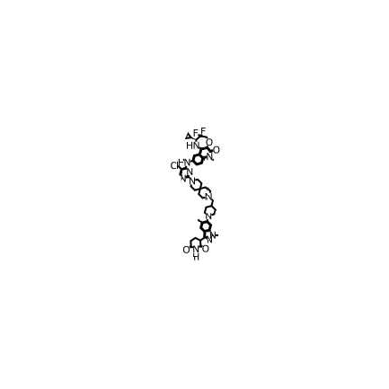 Cc1cc2c(C3CCC(=O)NC3=O)nn(C)c2cc1N1CCC(CN2CCC3(CC2)CCN(c2ncc(Cl)c(Nc4ccc5c(c4)c4c(c(=O)n5C)OCC(F)(F)[C@H](C5CC5)N4)n2)CC3)CC1